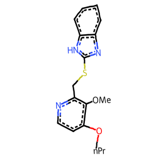 CCCOc1ccnc(CSc2nc3ccccc3[nH]2)c1OC